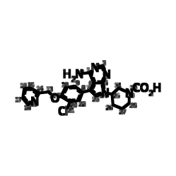 Nc1ncnc2c1c(-c1ccc(OCc3ccccn3)c(Cl)c1)cn2C1CCCN(C(=O)O)C1